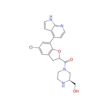 O=C(C1Cc2cc(Cl)cc(-c3ccnc4[nH]ccc34)c2O1)N1CCN[C@H](CO)C1